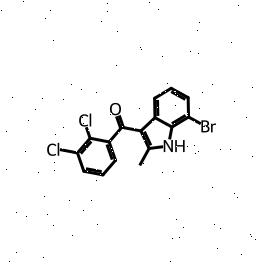 Cc1[nH]c2c(Br)cccc2c1C(=O)c1cccc(Cl)c1Cl